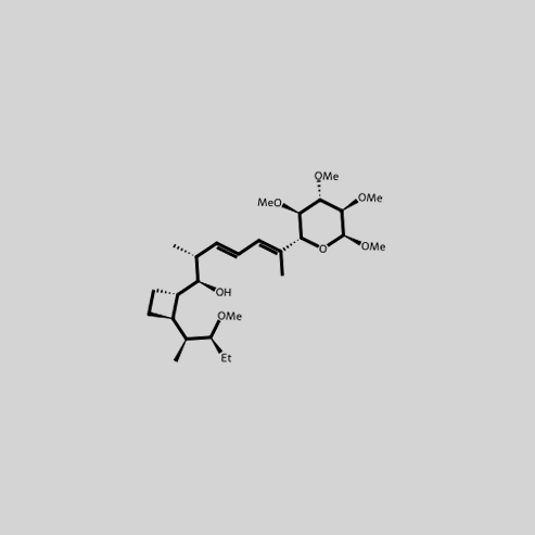 CC[C@H](OC)[C@@H](C)[C@H]1CC[C@@H]1[C@H](O)[C@H](C)/C=C/C=C(\C)[C@H]1O[C@H](OC)[C@H](OC)[C@@H](OC)[C@@H]1OC